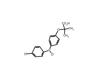 CC(C)(Oc1ccc([S+]([O-])c2ccc(Cl)cc2)cc1)C(=O)O